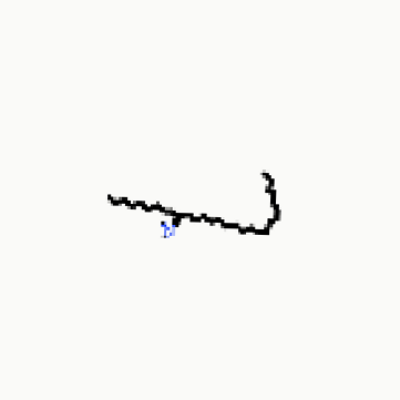 CCCCC/C=C\C/C=C\CCCCCCCCCC(=CN(C)C)CCCCCCCCC